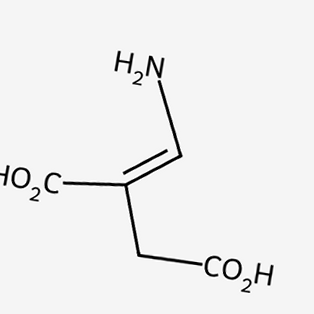 NC=C(CC(=O)O)C(=O)O